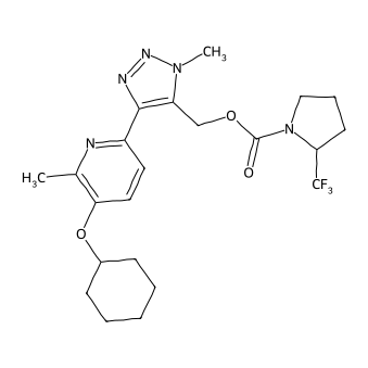 Cc1nc(-c2nnn(C)c2COC(=O)N2CCCC2C(F)(F)F)ccc1OC1CCCCC1